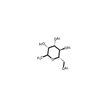 CC(=O)OC[C@@H]1OC(C)[C@H](OC(C)=O)[C@H](OC(C)=O)[C@H]1OC(C)=O